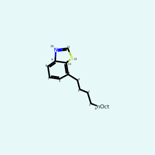 CCCCCCCCCCCCc1cccc2ncsc12